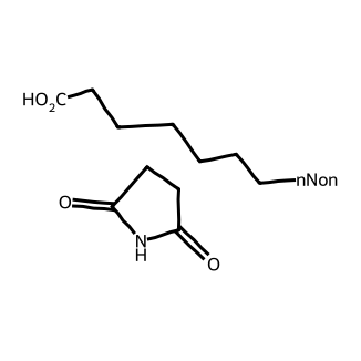 CCCCCCCCCCCCCCCC(=O)O.O=C1CCC(=O)N1